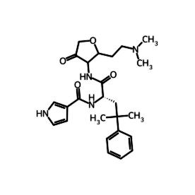 CN(C)CCC1OCC(=O)C1NC(=O)[C@H](CC(C)(C)c1ccccc1)NC(=O)c1cc[nH]c1